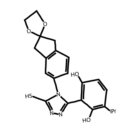 CC(C)c1ccc(O)c(-c2nnc(S)n2-c2ccc3c(c2)CC2(C3)OCCO2)c1O